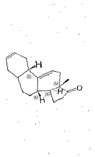 C[C@]12CC=C3[C@H]4CC=CCC4CC[C@H]3[C@@H]1CCC2=O